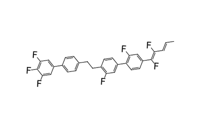 C/C=C/C(F)=C(\F)c1ccc(-c2ccc(CCc3ccc(-c4cc(F)c(F)c(F)c4)cc3)c(F)c2)c(F)c1